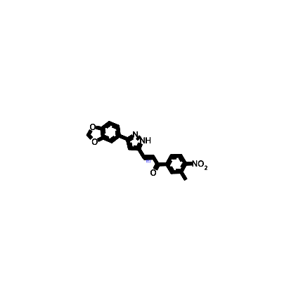 Cc1cc(C(=O)/C=C/c2cc(-c3ccc4c(c3)OCO4)n[nH]2)ccc1[N+](=O)[O-]